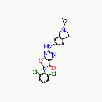 O=C1c2cnc(Nc3ccc4c(c3)CN(C3CC3)CC4)nc2OCN1c1c(Cl)cccc1Cl